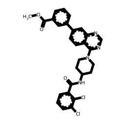 COC(=O)c1cccc(-c2ccc3c(N4CCC(NC(=O)c5cccc(Cl)c5Cl)CC4)ncnc3c2)c1